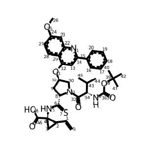 C=CC1C[C@]1(NC(=S)[C@@H]1C[C@@H](Oc2cc(-c3ccccc3)nc3cc(OC)ccc23)CN1C(=O)[C@@H](NC(=O)OC(C)(C)C)C(C)C)C(=O)O